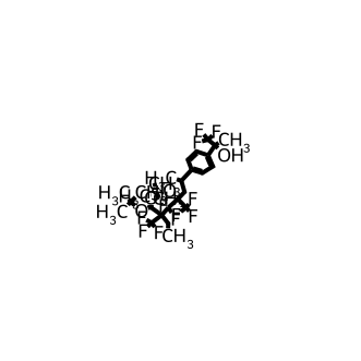 CCC(C(=O)OC(C)(C)C)(C(F)(F)F)C(F)(F)C(CC(C)c1ccc(C(C)(O)C(F)(F)F)cc1)(O[Si](C)(C)C)C(F)(F)F